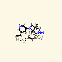 C=Cc1cncc(N2C[C@@H]3CNC[C@@H]32)c1.O=C(O)C=CC(=O)O